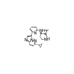 F[C@@H]1CNCC[C@H]1Nc1cccc(-c2cnc3ccc(C4CC4)nn23)n1